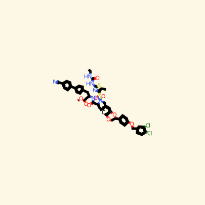 CCNC(=O)Nc1nc(S(=O)(=O)N2Cc3cc4c(cc3CC2C(=O)NC(Cc2ccc(-c3ccc(C#N)cc3)cc2)C(=O)OC)OCC(c2ccc(OCc3ccc(Cl)c(Cl)c3)cc2)O4)c(C)s1